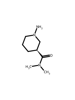 CN(C)C(=O)[C@H]1CCCN(N)C1